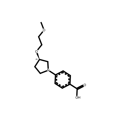 COCCO[C@@H]1CCN(c2ccc(C(=O)O)cc2)C1